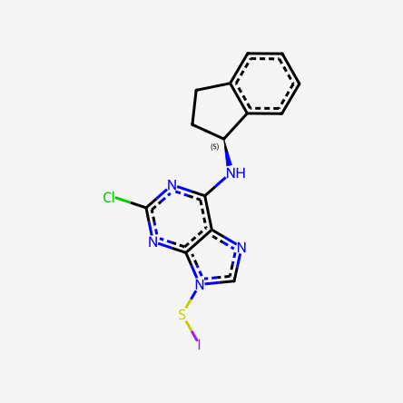 Clc1nc(N[C@H]2CCc3ccccc32)c2ncn(SI)c2n1